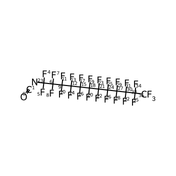 O=C=NC(F)(F)C(F)(F)C(F)(F)C(F)(F)C(F)(F)C(F)(F)C(F)(F)C(F)(F)C(F)(F)C(F)(F)C(F)(F)C(F)(F)F